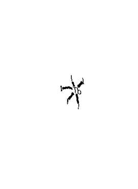 [I][Tb]([I])([I])([I])[I]